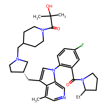 CCC1CCCN1C(=O)c1cc(F)ccc1-n1cc(C[C@@H]2CCN(CC3CCN(C(=O)C(C)(C)O)CC3)C2)c2c(C)cncc21